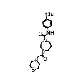 CC(C)(C)c1ccc(NC(=O)N2CCCN(C(=O)CN3CCSCC3)CC2)cc1